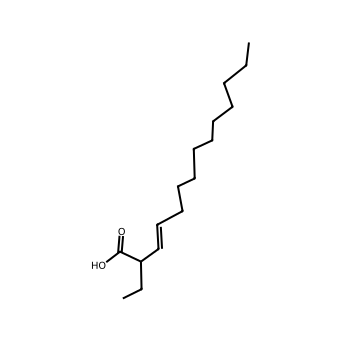 CCCCCCCCCCC=CC(CC)C(=O)O